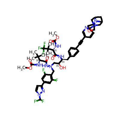 COC(=O)N[C@H](C(=O)NN(Cc1c(F)cc(-c2ccn(C(F)F)n2)cc1F)C[C@H](O)[C@H](Cc1ccc(C#Cc2ccc(N3CC4CC(C3)N4C3COC3)nc2)cc1)NC(=O)[C@@H](NC(=O)OC)C(C)(C)C(F)(F)F)C(C)(C)C